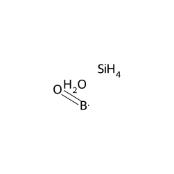 O.[B]=O.[SiH4]